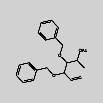 C=CC(OCc1ccccc1)C(OCc1ccccc1)C(C)OC(C)=O